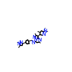 Cc1cc(N(C)Cc2ccc(-c3cc(C)n(C)n3)cc2)n2nc(C)c(-c3cnc(N(C)C)cc3C)c2n1